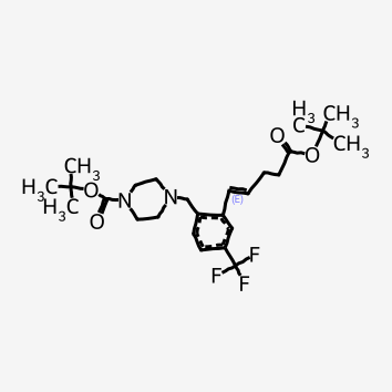 CC(C)(C)OC(=O)CC/C=C/c1cc(C(F)(F)F)ccc1CN1CCN(C(=O)OC(C)(C)C)CC1